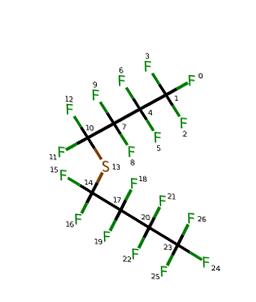 FC(F)(F)C(F)(F)C(F)(F)C(F)(F)SC(F)(F)C(F)(F)C(F)(F)C(F)(F)F